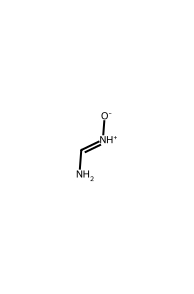 NC=[NH+][O-]